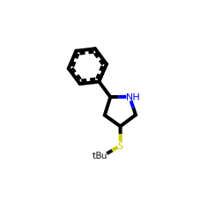 CC(C)(C)SC1CNC(c2ccccc2)C1